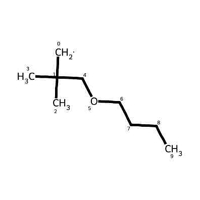 [CH2]C(C)(C)COCCCC